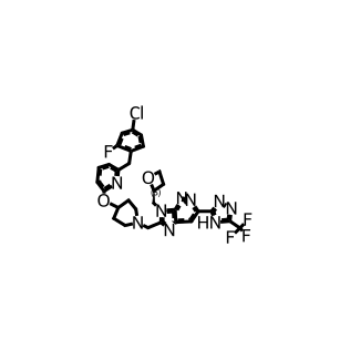 Fc1cc(Cl)ccc1Cc1cccc(OC2CCN(Cc3nc4cc(-c5nnc(C(F)(F)F)[nH]5)nnc4n3C[C@@H]3CCO3)CC2)n1